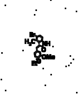 CCOc1ccc(C=C2C(=O)Nc3ccc(Br)c(C)c32)cc1OC